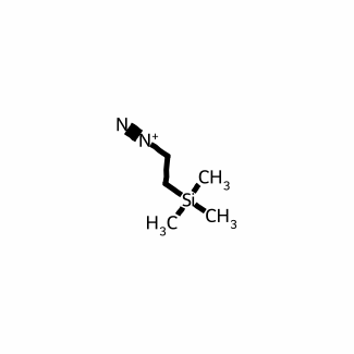 C[Si](C)(C)CC[N+]#N